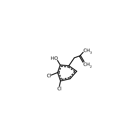 C=C(C)Cc1ccc(Cl)c(Cl)c1O